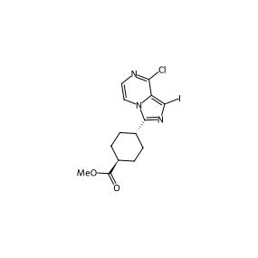 COC(=O)[C@H]1CC[C@H](c2nc(I)c3c(Cl)nccn32)CC1